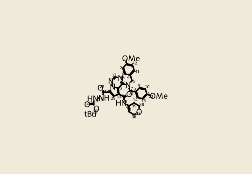 COc1ccc(CN(Cc2ccc(OC)cc2)c2ncnn3c(C(=O)NNC(=O)OC(C)(C)C)cc(C(=O)NC4CCOCC4)c23)cc1